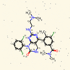 Cc1c(F)cc(C(=O)N(C)C)cc1-c1nc(NCCN(C)C)nc2c1CNC(=O)N2c1c(F)cccc1F